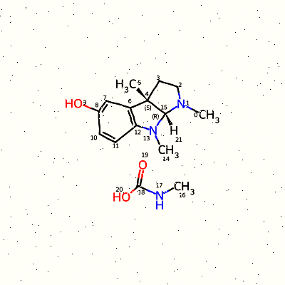 CN1CC[C@@]2(C)c3cc(O)ccc3N(C)[C@@H]12.CNC(=O)O